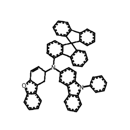 C1=CC(N(c2ccc3c(c2)c2ccccc2n3-c2ccccc2)c2cccc3c2-c2ccccc2C32c3ccccc3-c3ccccc32)Cc2c1oc1ccccc21